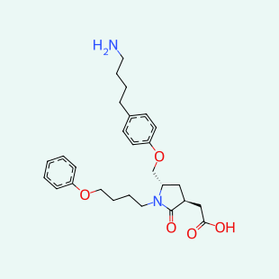 NCCCCc1ccc(OC[C@@H]2C[C@@H](CC(=O)O)C(=O)N2CCCCOc2ccccc2)cc1